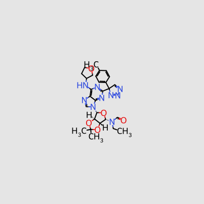 CCN(C=O)[C@H]1O[C@@H](n2cnc3c(NC4CCOC4)nc(C4(c5ccc(C)cc5)C=NN=N4)nc32)[C@@H]2OC(C)(C)O[C@H]21